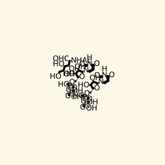 CC(=O)N[C@@H](C=O)[C@@H](O)[C@@H](O)[C@H](O)CO.O=c1ccn([C@@H]2O[C@H](COP(=O)(O)OP(=O)(O)O)[C@@H](O)[C@H]2O)c(=O)[nH]1.O=c1ccn([C@@H]2O[C@H](COP(=O)(O)OP(=O)(O)O)[C@@H](O)[C@H]2O)c(=O)[nH]1